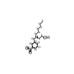 CCCCCCN(CCO)Cc1cccc([N+](=O)[O-])c1